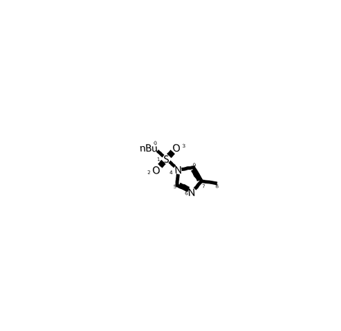 CCCCS(=O)(=O)n1cnc(C)c1